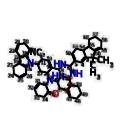 CC1(C)C2=CC(C3NC(C4=CC(C#N)C(n5c6c(c7c5CCC=C7)CCC=C6)CC4N4C5C=CCCC5OC5CCCCC54)NC(C4C=CCCC4)N3)=CCC2C2CCCC=C21